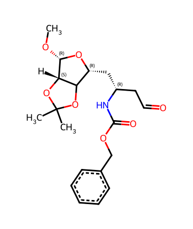 CO[C@@H]1O[C@H](C[C@H](CC=O)NC(=O)OCc2ccccc2)C2OC(C)(C)O[C@@H]21